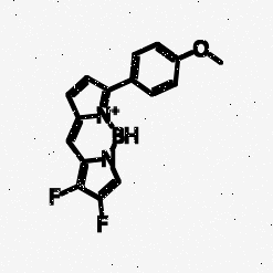 COc1ccc(C2=[N+]3Bn4cc(F)c(F)c4C=C3C=C2)cc1